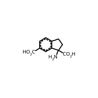 NC1(C(=O)O)CCc2ccc(C(=O)O)cc21